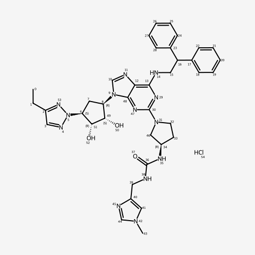 CCc1cnn([C@H]2C[C@@H](n3cnc4c(NCC(c5ccccc5)c5ccccc5)nc(N5CC[C@@H](NC(=O)NCc6cn(C)cn6)C5)nc43)[C@H](O)[C@@H]2O)n1.Cl